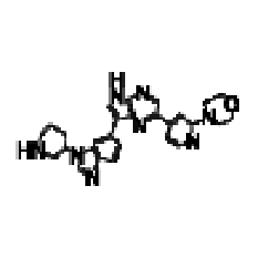 c1cc(-c2cnc3[nH]cc(-c4ccc5ncn(C6CCCNC6)c5c4)c3n2)cc(N2CCOCC2)n1